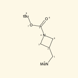 CNCC1CN(C(=O)OC(C)(C)C)C1